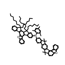 CCCCCCCC1(CCCCCCC)c2ccccc2-c2c1c1c(c3c2oc2ccccc23)-c2ccc(N(c3ccc4c(c3)C(C)(C)c3cc5c(cc3-4)C(C)(C)c3ccc4oc6ccccc6c4c3-5)c3c(C)cc(C)cc3C)cc2C1(CCCCCCC)CCCCCCC